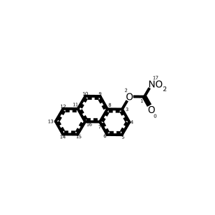 O=C(Oc1cccc2c1ccc1ccccc12)[N+](=O)[O-]